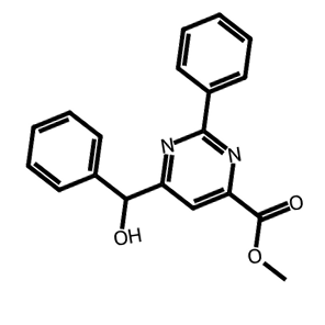 COC(=O)c1cc(C(O)c2ccccc2)nc(-c2ccccc2)n1